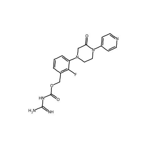 N=C(N)NC(=O)OCc1cccc(N2CCN(c3ccncc3)C(=O)C2)c1F